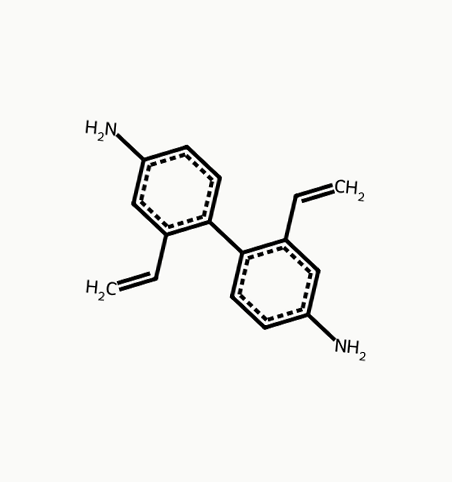 C=Cc1cc(N)ccc1-c1ccc(N)cc1C=C